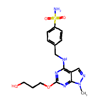 Cn1ncc2c(NCc3ccc(S(N)(=O)=O)cc3)nc(OCCCO)nc21